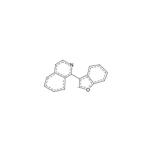 [c]1oc2ccccc2c1-c1nccc2ccccc12